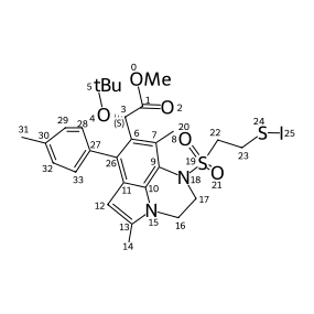 COC(=O)[C@@H](OC(C)(C)C)c1c(C)c2c3c(cc(C)n3CCN2S(=O)(=O)CCSI)c1-c1ccc(C)cc1